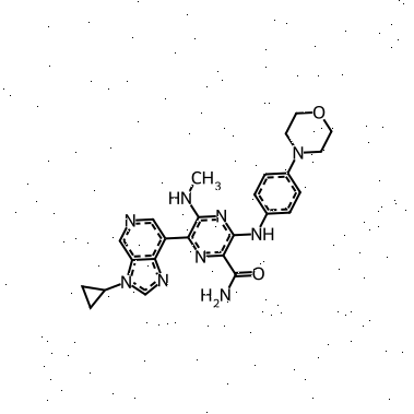 CNc1nc(Nc2ccc(N3CCOCC3)cc2)c(C(N)=O)nc1-c1cncc2c1ncn2C1CC1